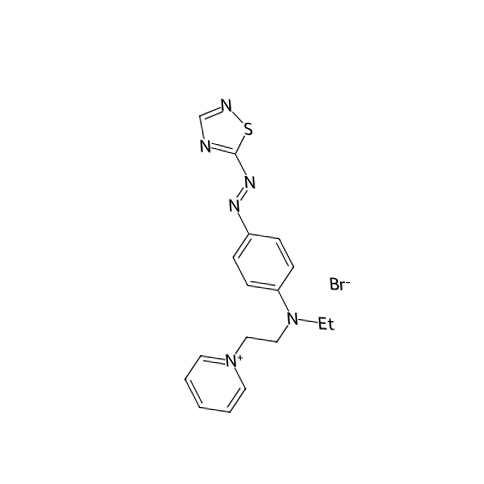 CCN(CC[n+]1ccccc1)c1ccc(N=Nc2ncns2)cc1.[Br-]